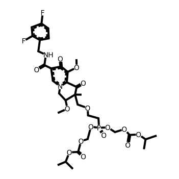 COc1c2n(cc(C(=O)NCc3ccc(F)cc3F)c1=O)CC(OC)C(C)(COCCP(=O)(OCOC(=O)OC(C)C)OCOC(=O)OC(C)C)C2=O